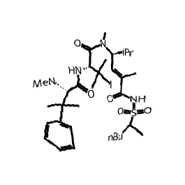 CCCCC(C)S(=O)(=O)NC(=O)/C(C)=C/[C@H](C(C)C)N(C)C(=O)[C@@H](NC(=O)[C@@H](NC)C(C)(C)c1ccccc1)C(C)(C)I